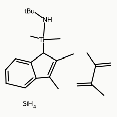 C=C(C)C(=C)C.CC1=C(C)[CH]([Ti]([CH3])([CH3])[NH]C(C)(C)C)c2ccccc21.[SiH4]